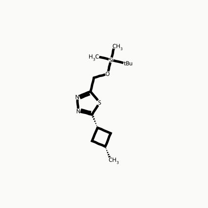 CC(C)(C)[Si](C)(C)OCc1nnc([C@H]2C[C@@H](C)C2)s1